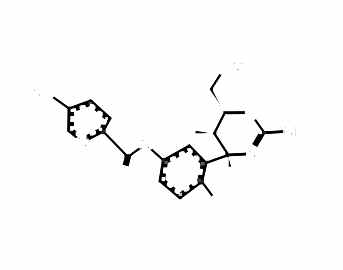 COC[C@H]1SC(N)=N[C@](C)(c2cc(NC(=O)c3ccc(C#N)cn3)ccc2F)[C@H]1F